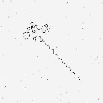 CCCCCCCCCCCCCCCCCCOCC(COP(=O)(OCC1COC(C)(C)O1)Oc1ccccc1)OC